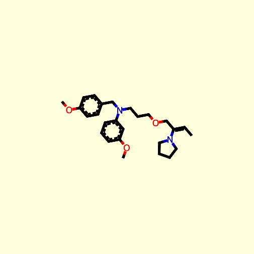 CC=C(COCCCN(Cc1ccc(OC)cc1)c1cccc(OC)c1)N1CCCC1